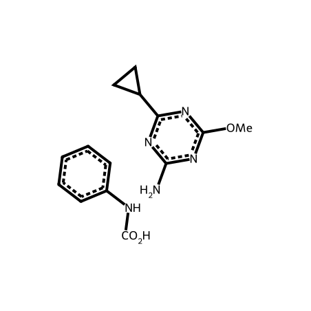 COc1nc(N)nc(C2CC2)n1.O=C(O)Nc1ccccc1